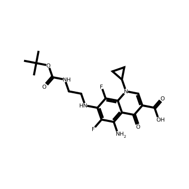 CC(C)(C)OC(=O)NCCNc1c(F)c(N)c2c(=O)c(C(=O)O)cn(C3CC3)c2c1F